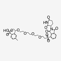 Cc1ccc(S(=O)(=O)O)c(C(C)OCCOCCOCCOCCS(=O)(=O)c2cccc3c2C(=O)N(C2CCC(=O)NC2=O)C3=O)c1